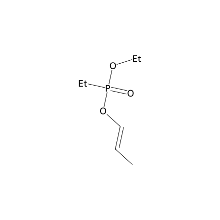 CC=COP(=O)(CC)OCC